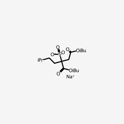 CC(C)CCC(CC(=O)OCC(C)C)(C(=O)OCC(C)C)S(=O)(=O)[O-].[Na+]